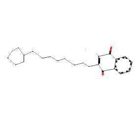 O=C1C(O)=C(CCCCCCCCC2CCCCC2)C(=O)c2ccccc21